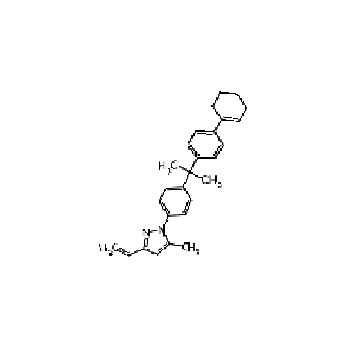 C=Cc1cc(C)n(-c2ccc(C(C)(C)c3ccc(C4=CCCCC4)cc3)cc2)n1